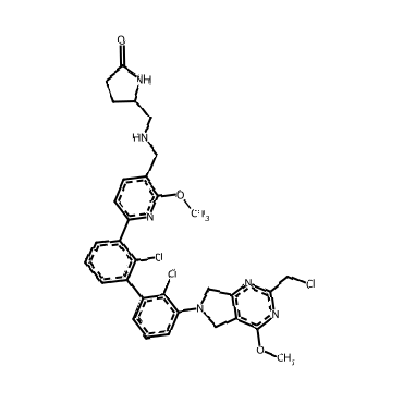 COc1nc(-c2cccc(-c3cccc(N4Cc5nc(CCl)nc(OC)c5C4)c3Cl)c2Cl)ccc1CNCC1CCC(=O)N1